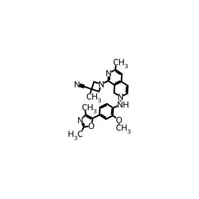 COc1cc(-c2oc(C)nc2C)ccc1NN1C=Cc2cc(C)nc(N3CC(C)(C#N)C3)c2C1